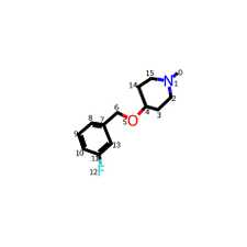 CN1CCC(OCc2cccc(F)c2)CC1